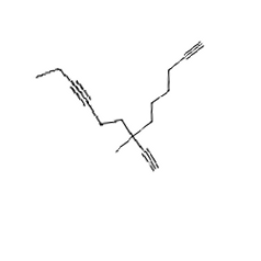 C#CCCCCC(C)(C#C)CCC#CCC